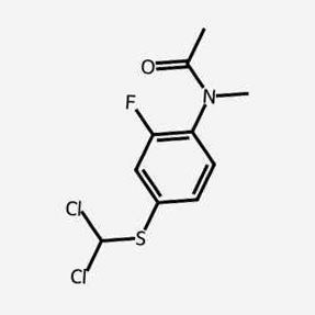 CC(=O)N(C)c1ccc(SC(Cl)Cl)cc1F